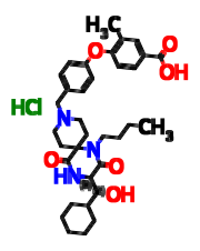 CCCCN1C(=O)[C@@H]([C@H](O)C2CCCCC2)NC(=O)C12CCN(Cc1ccc(Oc3ccc(C(=O)O)cc3C)cc1)CC2.Cl